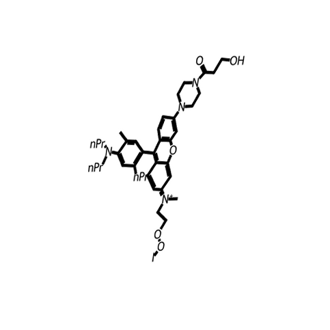 CCCc1cc(N(CCC)CCC)c(C)cc1-c1c2cc/c(=[N+](/C)CCOOI)cc-2oc2cc(N3CCN(C(=O)CCO)CC3)ccc12